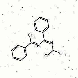 C/C(=N\C(=N/C(C)Cl)c1ccccc1)c1ccccc1